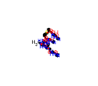 CCCN1CCC(C(=O)Nc2ccncc2)CC1.O=C(Nc1ccccn1)C1CCNCC1.O=C(Nc1ccncc1)C1CCN(C(=O)OCc2ccccc2)CC1.O=C(Nc1ccncc1)C1CCN(C(=O)c2ccccc2)CC1.O=C(Nc1ccncc1)C1CCN(CC(O)COc2ccccc2Cc2cccs2)CC1